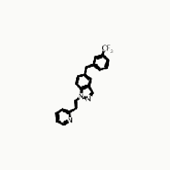 FC(F)(F)c1cccc(Cc2ccc3c(cnn3C=Cc3ccccn3)c2)c1